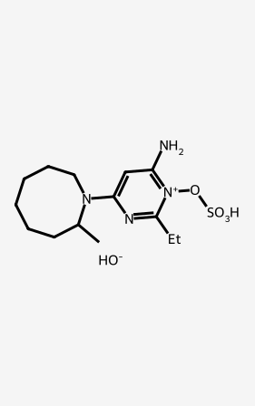 CCc1nc(N2CCCCCCC2C)cc(N)[n+]1OS(=O)(=O)O.[OH-]